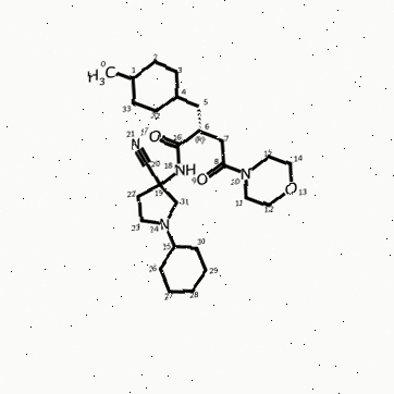 CC1CCC(C[C@H](CC(=O)N2CCOCC2)C(=O)NC2(C#N)CCN(C3CCCCC3)C2)CC1